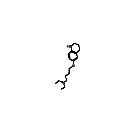 CCN(CC)CCCCOc1ccc2c(c1)CCCN2